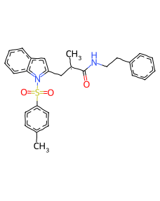 C[C](Cc1cc2ccccc2n1S(=O)(=O)c1ccc(C)cc1)C(=O)NCCc1ccccc1